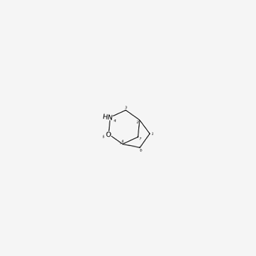 C1CC2CNO[C]1C2